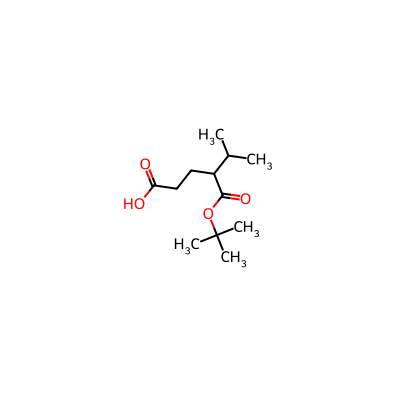 CC(C)C(CCC(=O)O)C(=O)OC(C)(C)C